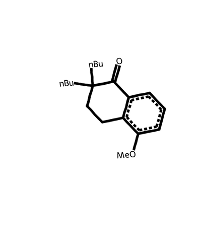 CCCCC1(CCCC)CCc2c(OC)cccc2C1=O